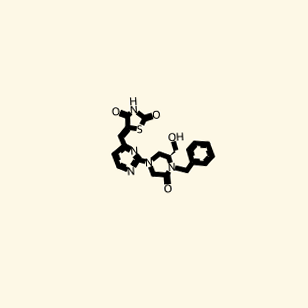 O=C1NC(=O)C(=Cc2ccnc(N3CC(=O)N(Cc4ccccc4)[C@@H](CO)C3)n2)S1